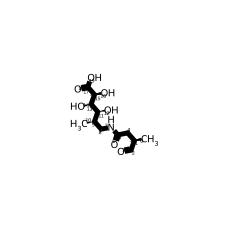 C[C@@H](C=O)CC(=O)NC[C@H](C)[C@@H](O)[C@H](O)[C@H](O)C(=O)O